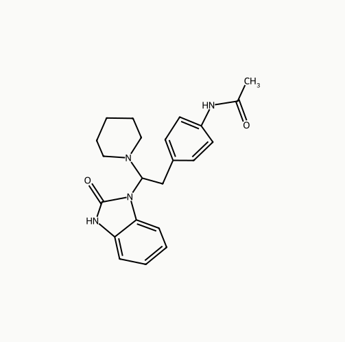 CC(=O)Nc1ccc(CC(N2CCCCC2)n2c(=O)[nH]c3ccccc32)cc1